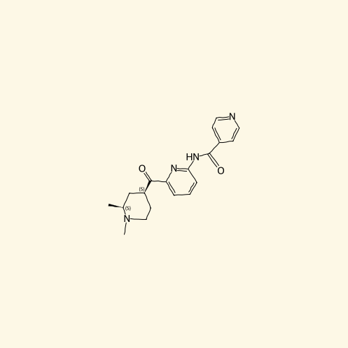 C[C@H]1C[C@@H](C(=O)c2cccc(NC(=O)c3ccncc3)n2)CCN1C